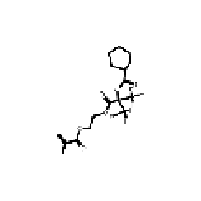 C=C(C)C(=O)OCCOC(=O)C(OC(=O)C1CCCCC1)(C(F)(F)F)C(F)(F)F